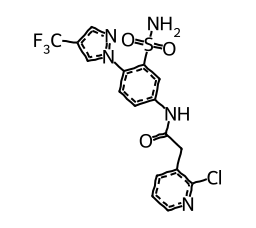 NS(=O)(=O)c1cc(NC(=O)Cc2cccnc2Cl)ccc1-n1cc(C(F)(F)F)cn1